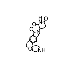 O=C1CCC(N2Cc3cc4c(cc3C2=O)CCOC42CCNCC2)C(=O)N1